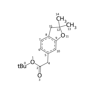 CC(C)(C)OC(=O)Cc1ccc2c(c1)OC(C)(C)C2